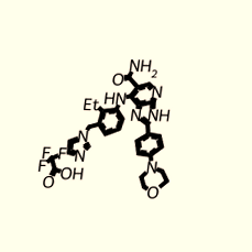 CCc1c(Cn2ccnc2)cccc1Nc1c(C(N)=O)cnc2[nH]c(-c3ccc(N4CCOCC4)cc3)nc12.O=C(O)C(F)(F)F